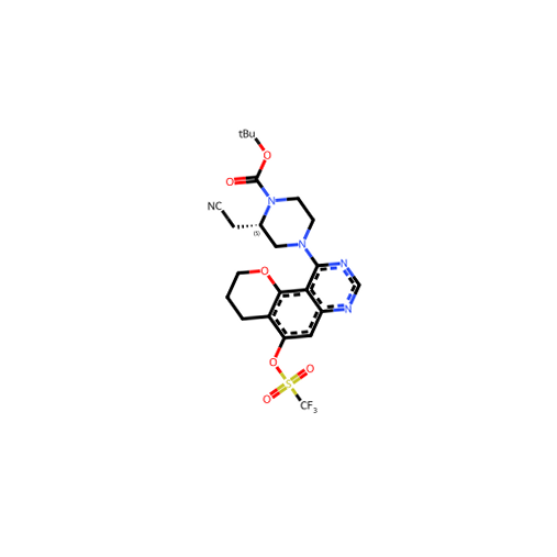 CC(C)(C)OC(=O)N1CCN(c2ncnc3cc(OS(=O)(=O)C(F)(F)F)c4c(c23)OCCC4)C[C@@H]1CC#N